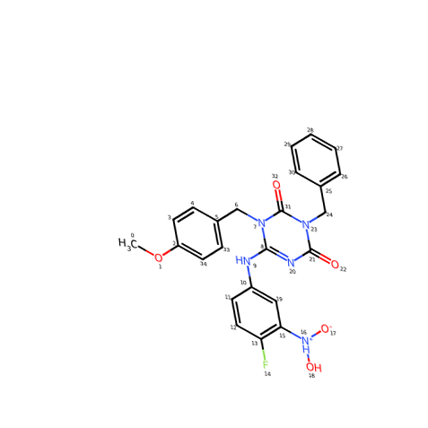 COc1ccc(Cn2c(Nc3ccc(F)c([NH+]([O-])O)c3)nc(=O)n(Cc3ccccc3)c2=O)cc1